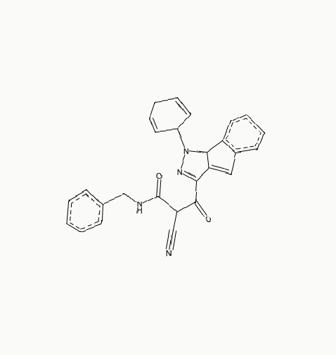 N#CC(C(=O)NCc1ccccc1)C(=O)C1=NN(C2C=CCC=C2)C2C1=Cc1ccccc12